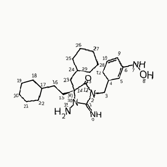 N=C1N(CC2C=C(NO)C=CC2)C(=O)[C@@](CCC2CCCCC2)(CC2CCCCC2)N1N